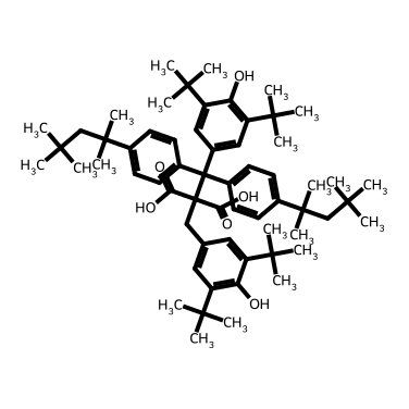 CC(C)(C)CC(C)(C)c1ccc(C(c2ccc(C(C)(C)CC(C)(C)C)cc2)(c2cc(C(C)(C)C)c(O)c(C(C)(C)C)c2)C(Cc2cc(C(C)(C)C)c(O)c(C(C)(C)C)c2)(C(=O)O)C(=O)O)cc1